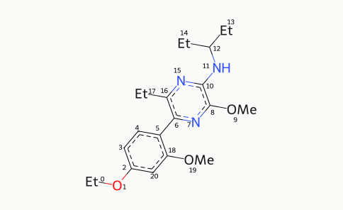 CCOc1ccc(-c2nc(OC)c(NC(CC)CC)nc2CC)c(OC)c1